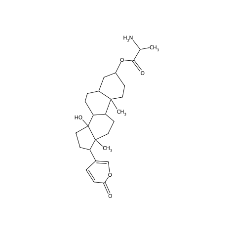 CC(N)C(=O)OC1CCC2(C)C(CCC3C2CCC2(C)C(c4ccc(=O)oc4)CCC32O)C1